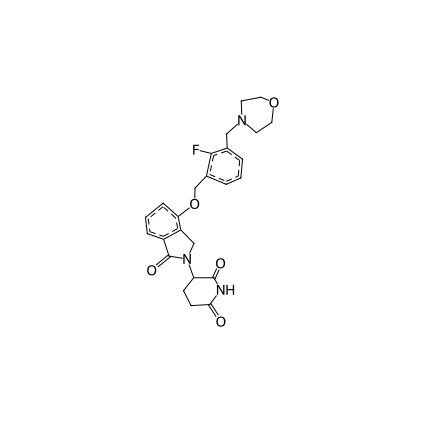 O=C1CCC(N2Cc3c(OCc4cccc(CN5CCOCC5)c4F)cccc3C2=O)C(=O)N1